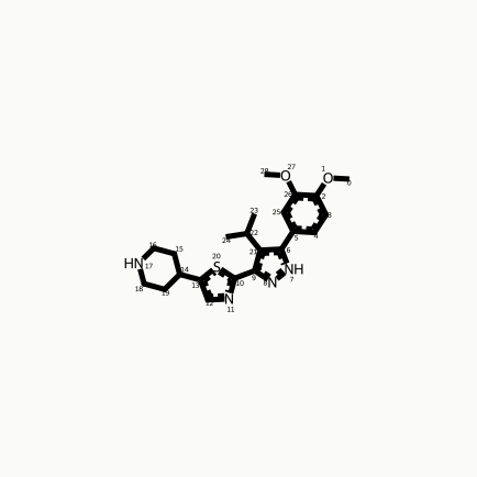 COc1ccc(-c2[nH]nc(-c3ncc(C4CCNCC4)s3)c2C(C)C)cc1OC